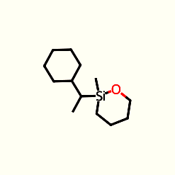 CC(C1CCCCC1)[Si]1(C)CCCCO1